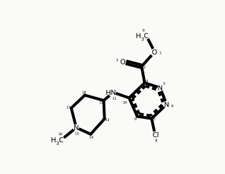 COC(=O)c1nnc(Cl)cc1NC1CCN(C)CC1